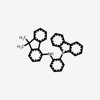 CC1(C)c2ccccc2-c2c(Nc3ccccc3-n3c4ccccc4c4ccccc43)cccc21